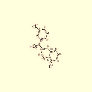 OC(c1cccc(Cl)c1)c1cnc2c(Cl)cccc2c1